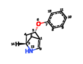 C1=C2C[C@@H](C[C@@H]2Oc2ccccc2)N1